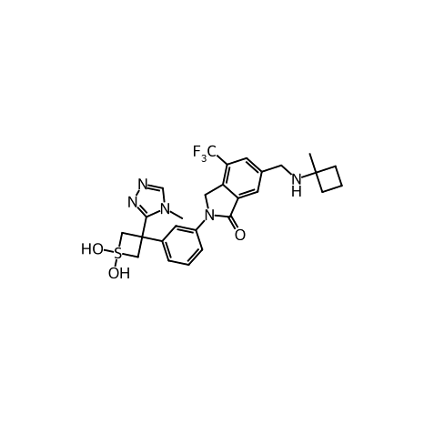 Cn1cnnc1C1(c2cccc(N3Cc4c(cc(CNC5(C)CCC5)cc4C(F)(F)F)C3=O)c2)CS(O)(O)C1